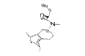 Cc1sc(C)c2c1CC[C@@H](N(C)C(=O)OC(C)(C)C)C2